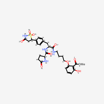 COC(=O)c1c(O)cccc1OCCCCNC(=O)[C@H](Cc1ccc(C2CC(=O)NS2(=O)=O)cc1)NC(=O)[C@@H]1CCC(=O)N1